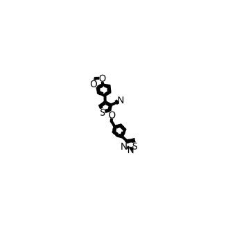 N#Cc1c(-c2ccc3c(c2)OCO3)csc1OCc1ccc(-c2csnn2)cc1